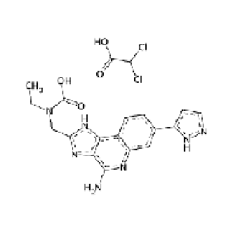 CCN(Cc1nc2c(N)nc3cc(-c4ccn[nH]4)ccc3c2[nH]1)C(=O)O.O=C(O)C(Cl)Cl